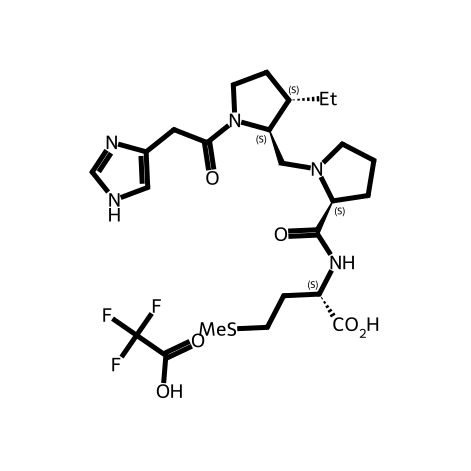 CC[C@H]1CCN(C(=O)Cc2c[nH]cn2)[C@@H]1CN1CCC[C@H]1C(=O)N[C@@H](CCSC)C(=O)O.O=C(O)C(F)(F)F